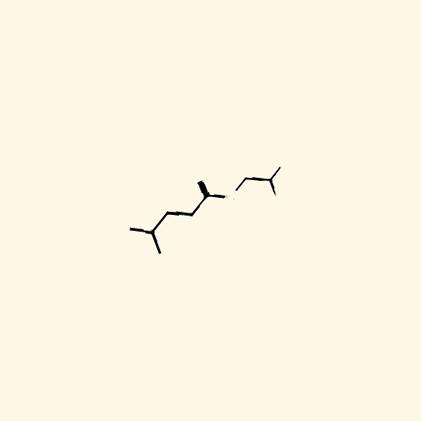 CC(C)CCC(=O)NCC(F)F